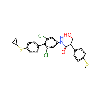 CSc1ccc(C(CO)C(=O)Nc2cc(Cl)c(-c3ccc(SC4CC4)cc3)c(Cl)c2)cc1